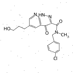 CN(Cc1ccc(Cl)cc1)C(=O)c1n[nH]c2ncc(CCCO)cc2c1=O